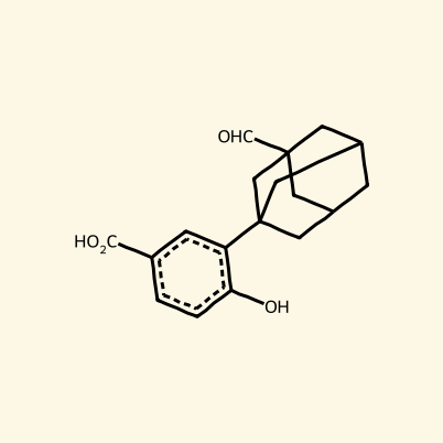 O=CC12CC3CC(C1)CC(c1cc(C(=O)O)ccc1O)(C3)C2